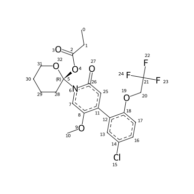 CCC(=O)O[C@@]1(n2cc(OC)c(-c3cc(Cl)ccc3OCC(F)(F)F)cc2=O)CCCCO1